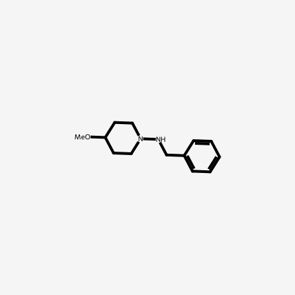 COC1CCN(NCc2ccccc2)CC1